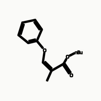 CCCCOC(=O)C(C)=COc1ccccc1